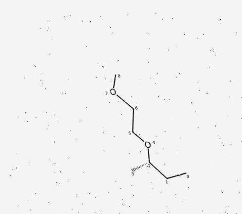 CC[C@H](C)OCCOC